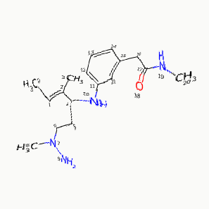 C/C=C(\C)C(CCN(C)N)Nc1cccc(CC(=O)NC)c1